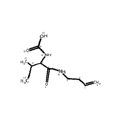 C=CCCNC(=O)C(NC(=O)O)C(C)C